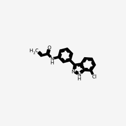 C=CC(=O)Nc1cccc(-c2n[nH]c3c(Cl)cccc23)c1